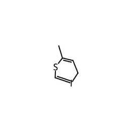 CC1=CCI=CS1